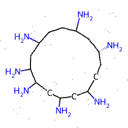 NC1CC[C@@H](N)CC(N)CCC(N)CC(N)C(N)CC(N)C1